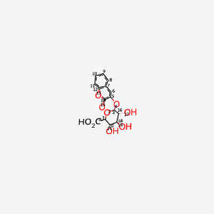 O=C(O)[C@H]1OC(Oc2cc3ccccc3oc2=O)[C@H](O)[C@@H](O)[C@@H]1O